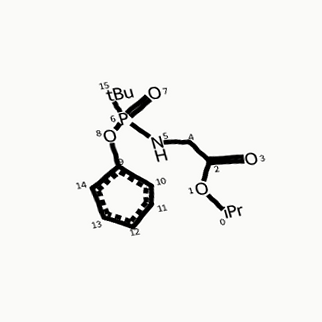 CC(C)OC(=O)CNP(=O)(Oc1ccccc1)C(C)(C)C